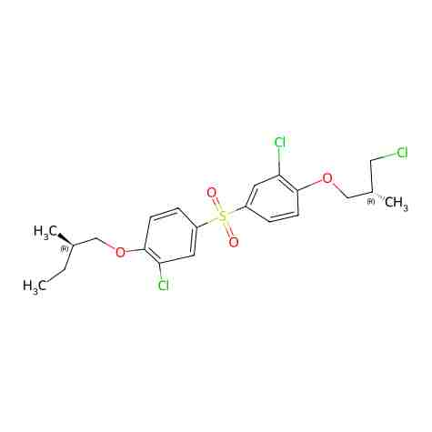 CC[C@@H](C)COc1ccc(S(=O)(=O)c2ccc(OC[C@@H](C)CCl)c(Cl)c2)cc1Cl